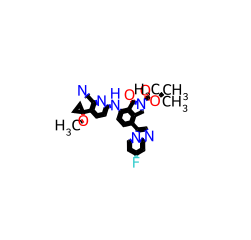 COC1(c2ccc(Nc3ccc(-c4cnc5cc(F)ccn45)c4c3C(=O)N(C(=O)OC(C)(C)C)C4)nc2C#N)CC1